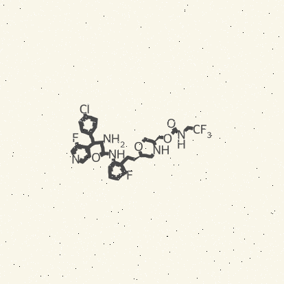 N[C@H](C(=O)Nc1cccc(F)c1CC[C@@H]1CN[C@H](COC(=O)NCC(F)(F)F)CO1)C(c1ccc(Cl)cc1)c1ccncc1F